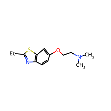 CCc1nc2ccc(OCCN(C)C)cc2s1